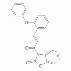 O=C(C=Cc1ccccc1Oc1ccccc1)n1c(=O)oc2ccccc21